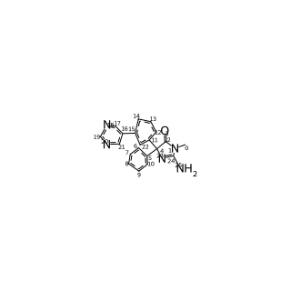 CN1C(=O)C(c2ccccc2)(c2cccc(-c3cncnc3)c2)N=C1N